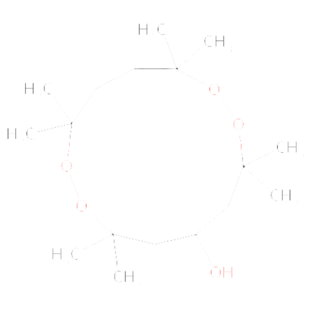 CC1(C)CCC(C)(C)OOC(C)(C)CC(O)CC(C)(C)OO1